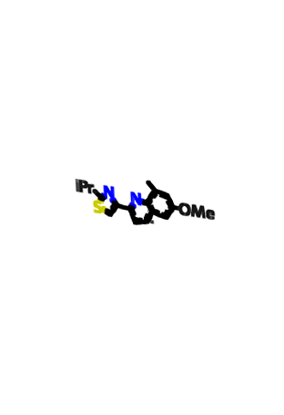 COc1cc(C)c2nc(-c3csc(C(C)C)n3)c[c]c2c1